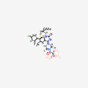 BC(B)=C(B)C(=O)N1[C@H](C)CN(c2nc(=O)n3c4c(c(-c5ccc(F)cc5)c(C(F)(F)F)cc24)SC[C@@H](OC)C3)C[C@@H]1C